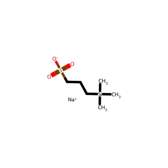 C[Si](C)(C)CCCS(=O)(=O)[O-].[Na+]